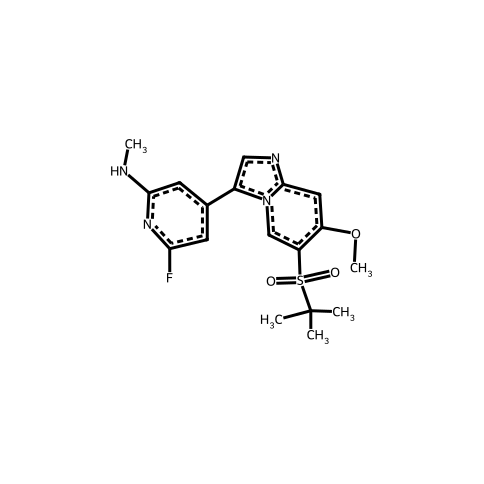 CNc1cc(-c2cnc3cc(OC)c(S(=O)(=O)C(C)(C)C)cn23)cc(F)n1